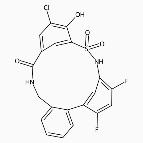 O=C1NCc2ccccc2-c2cc(c(F)cc2F)NS(=O)(=O)c2cc1cc(Cl)c2O